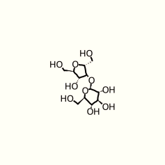 OC[C@H]1O[C@@H](O[C@H]2[C@H](O)[C@@H](CO)O[C@@H]2CO)[C@H](O)[C@@H](O)[C@@H]1O